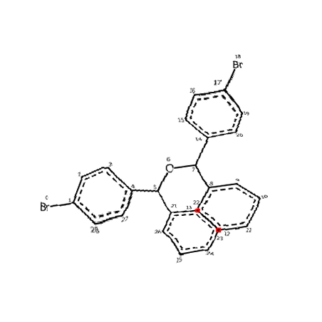 Brc1ccc(C(OC(c2ccccc2)c2ccc(Br)cc2)c2ccccc2)cc1